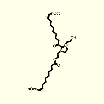 CCCCCCCC/C=C\CCCCCCCC(=O)OCCN1CC[N+](CCO)=C1C(=O)CCCCCCC/C=C\CCCCCCCC